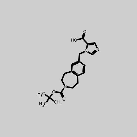 CC(C)(C)OC(=O)N1CCc2ccc(Cn3cncc3C(=O)O)cc2CC1